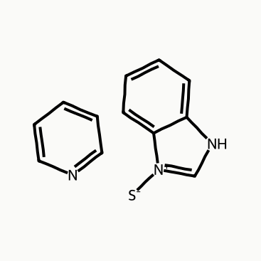 [S-][n+]1c[nH]c2ccccc21.c1ccncc1